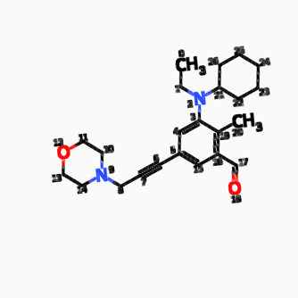 CCN(c1cc(C#CCN2CCOCC2)cc(C=O)c1C)C1CCCCC1